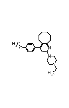 CCN1CCN(c2cc(-c3ccc(OC)cc3)c3c(n2)CCCCCC3)CC1